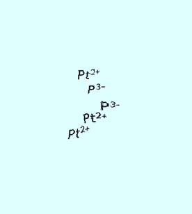 [P-3].[P-3].[Pt+2].[Pt+2].[Pt+2]